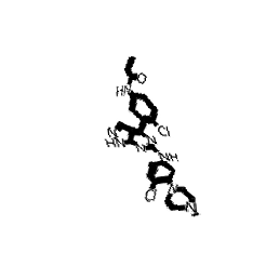 C=CC(=O)Nc1ccc(Cl)c(-c2nc(Nc3ccc(Cl)c(N4CCN(C)CC4)c3)nc3[nH]ncc23)c1